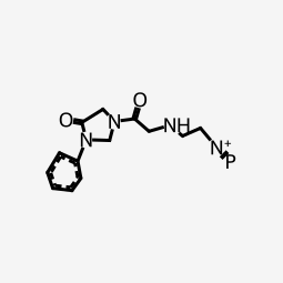 O=C(CNCC[N+]#P)N1CC(=O)N(c2ccccc2)C1